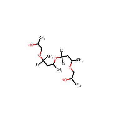 CCC(C)(CC(C)OC(CC)(CC)CC(C)OCC(C)O)OCC(C)O